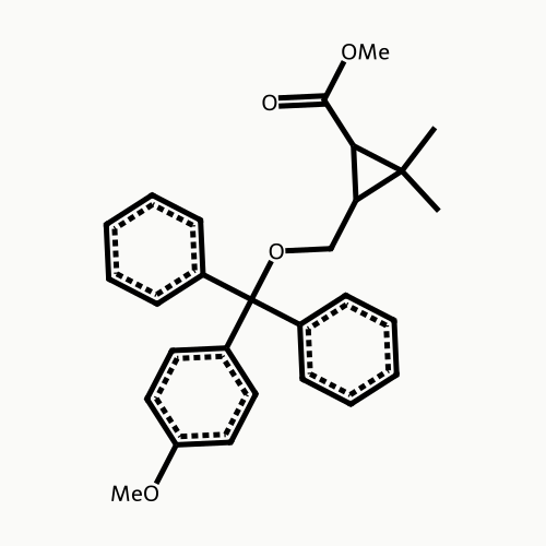 COC(=O)C1C(COC(c2ccccc2)(c2ccccc2)c2ccc(OC)cc2)C1(C)C